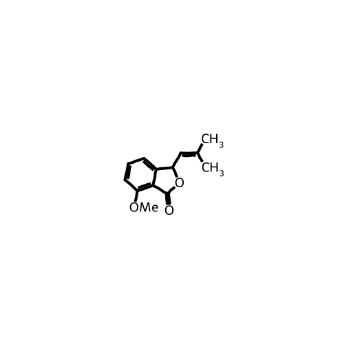 COc1cccc2c1C(=O)OC2C=C(C)C